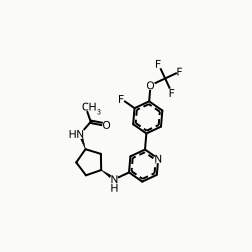 CC(=O)N[C@@H]1CC[C@H](Nc2ccnc(-c3ccc(OC(F)(F)F)c(F)c3)c2)C1